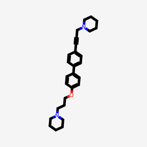 C(#Cc1ccc(-c2ccc(OCCCN3CCCCC3)cc2)cc1)CN1CCCCC1